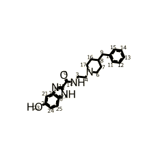 O=C(NCCN1CCC(Cc2ccccc2)CC1)c1nc2cc(O)ccc2[nH]1